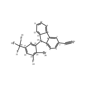 N#Cc1ccc2c(c1)c1ccccc1n2-c1cc(C(F)(F)F)cc(F)c1Br